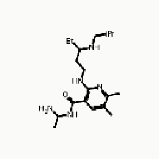 CCC(CCNc1nc(C)c(C)cc1C(=O)NC(C)N)NCC(C)C